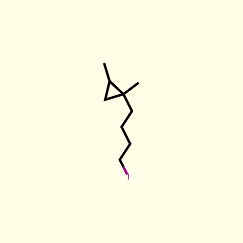 CC1CC1(C)CCCCI